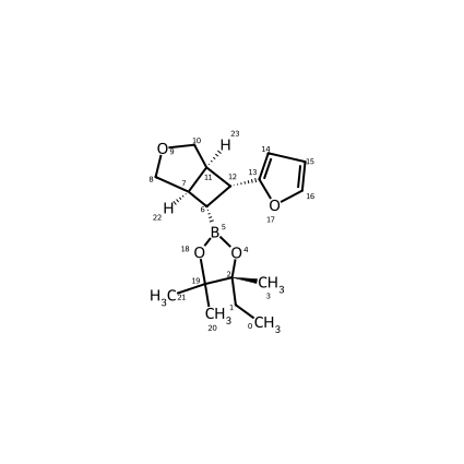 CC[C@@]1(C)OB([C@@H]2[C@H]3COC[C@H]3[C@@H]2c2ccco2)OC1(C)C